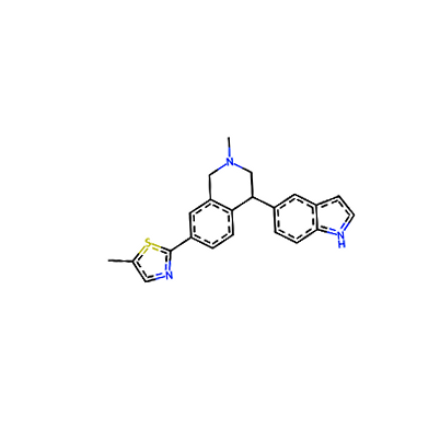 Cc1cnc(-c2ccc3c(c2)CN(C)CC3c2ccc3[nH]ccc3c2)s1